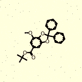 COc1cc(C(=O)OC(C)(C)C)cc2c1OC(c1ccccc1)(c1ccccc1)O2